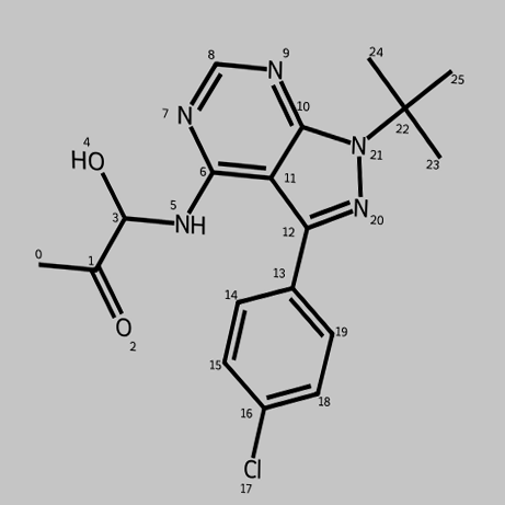 CC(=O)C(O)Nc1ncnc2c1c(-c1ccc(Cl)cc1)nn2C(C)(C)C